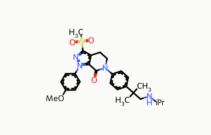 COc1ccc(-n2nc(S(C)(=O)=O)c3c2C(=O)N(c2ccc(C(C)(C)CNC(C)C)cc2)CC3)cc1